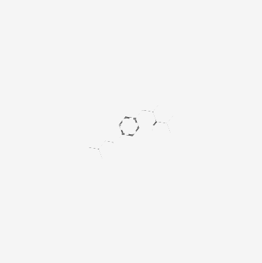 CC(C)COc1ccc(CC(C)C(=O)C(C)C)cc1